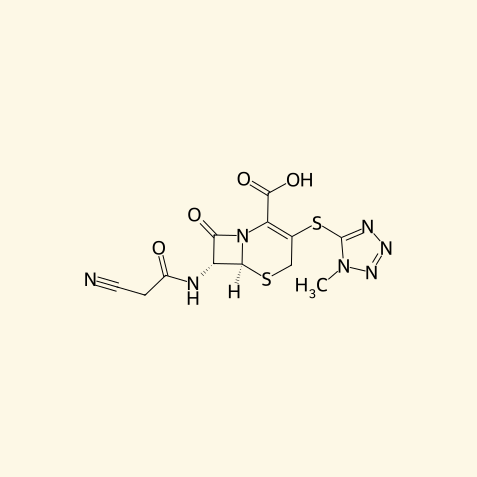 Cn1nnnc1SC1=C(C(=O)O)N2C(=O)[C@@H](NC(=O)CC#N)[C@@H]2SC1